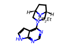 CCOC(=O)N1[C@@H]2CC[C@H]1CN(c1ncnc3[nH]ccc13)C2